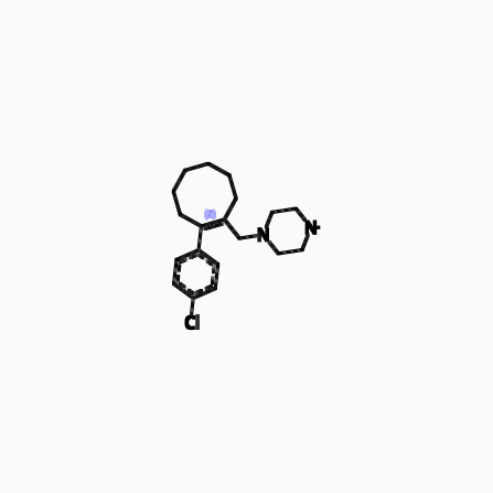 Clc1ccc(/C2=C(\CN3CC[N]CC3)CCCCCC2)cc1